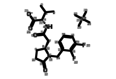 CC(C)[C@H](NC(=O)C[C@@H]1CCC(=O)N1Cc1cccc(F)c1F)C(=O)[O-].C[N+](C)(C)C